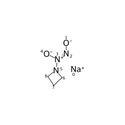 [Na+].[O-]N=[N+]([O-])N1CCC1